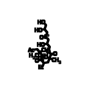 CCC(CC(C)(C)C(=O)OCC(O)C[S+]([O-])CC(O)CO)C(=O)NC(C)(C)CC(C)=O